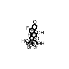 C[C@]12CCC(=O)C=C1C(F)C[C@H]1[C@@H]3CC(C(O)(O)CBr)[C@@](C(=O)CO)(C(O)(O)CBr)[C@@]3(C)CC(O)[C@@]12F